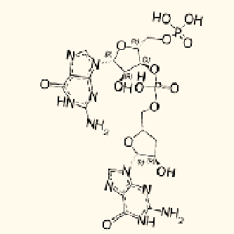 Nc1nc2c(ncn2[C@@H]2O[C@H](COP(=O)(O)O)[C@@H](OP(=O)(O)OCC3C[C@@H](O)[C@H](n4cnc5c(=O)[nH]c(N)nc54)O3)[C@H]2O)c(=O)[nH]1